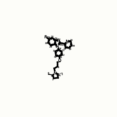 C[C@@H]1CC[C@@H](C)N1CCCOc1ccc(-n2c(-c3ccccn3)nc3cc(F)ccc32)cc1